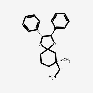 C[C@]1(CN)CCCC2(C1)O[C@H](c1ccccc1)[C@@H](c1ccccc1)O2